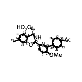 COc1ccc(C(=O)N[C@@H](CC(=O)O)c2ccc(C)cc2)nc1-c1ccc(C(C)=O)cc1